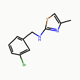 Cc1csc(NCc2cccc(Br)c2)n1